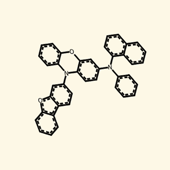 c1ccc(N(c2ccc3c(c2)Oc2ccccc2N3c2ccc3c(c2)oc2ccccc23)c2cccc3ccccc23)cc1